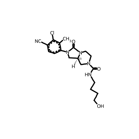 Cc1c(N2C[C@@H]3CN(C(=O)NCCCCO)CCN3C2=O)ccc(C#N)c1Cl